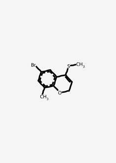 CSC1=CCOc2c(C)cc(Br)cc21